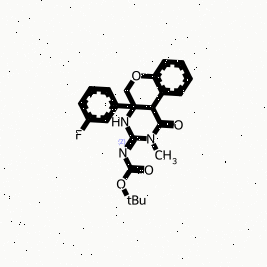 CN1C(=O)C2c3ccccc3OCC2(c2cccc(F)c2)N/C1=N/C(=O)OC(C)(C)C